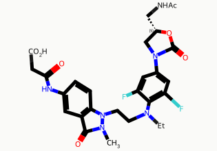 CCN(CCn1c2ccc(NC(=O)CC(=O)O)cc2c(=O)n1C)c1c(F)cc(N2C[C@H](CNC(C)=O)OC2=O)cc1F